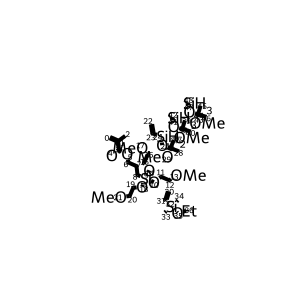 C=C(C)C(=O)OCCC[Si](OCCOC)(OCCOC)OCCOC.C=C[SiH2]OC(C)(C)OC.C=C[Si](C)(C)OCC.COC(C)(C)O[SiH3].COC(C)(C)O[SiH3]